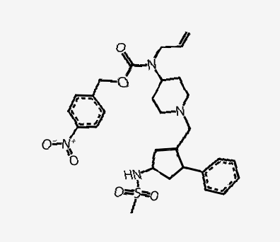 C=CCN(C(=O)OCc1ccc([N+](=O)[O-])cc1)C1CCN(CC2CC(NS(C)(=O)=O)CC2c2ccccc2)CC1